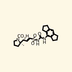 C[C@]1(C/C=C/S(=O)(=O)NC(=O)Nc2c3c(cc4c2CCC4)CCC3)CCCN1C(=O)O